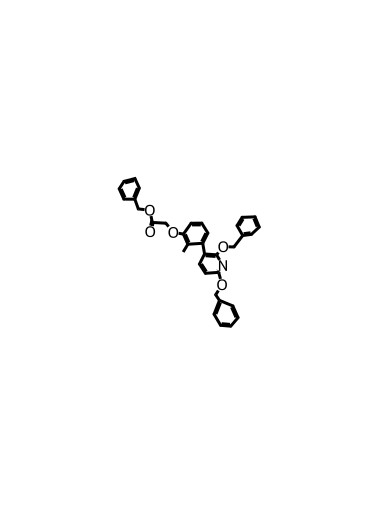 Cc1c(OCC(=O)OCc2ccccc2)cccc1-c1ccc(OCc2ccccc2)nc1OCc1ccccc1